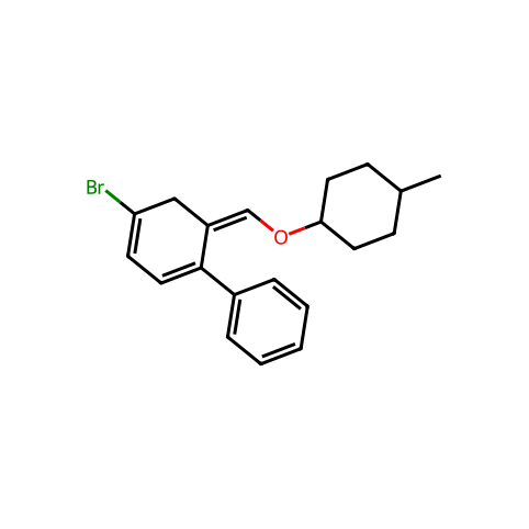 CC1CCC(OC=C2CC(Br)=CC=C2c2ccccc2)CC1